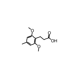 COc1cc(C)cc(OC)c1CCC(=O)O